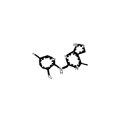 Cc1nc(Nc2ncc(F)cc2Cl)nc2[nH]ncc12